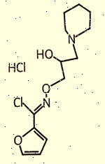 Cl.OC(CON=C(Cl)c1ccco1)CN1CCCCC1